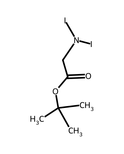 CC(C)(C)OC(=O)CN(I)I